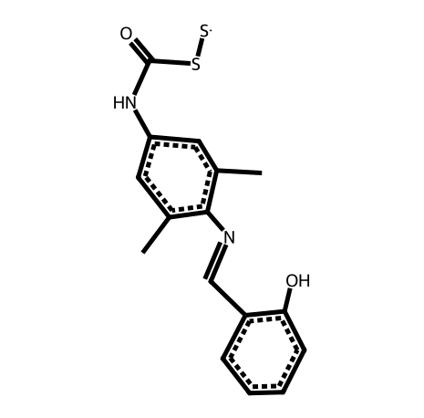 Cc1cc(NC(=O)S[S])cc(C)c1N=Cc1ccccc1O